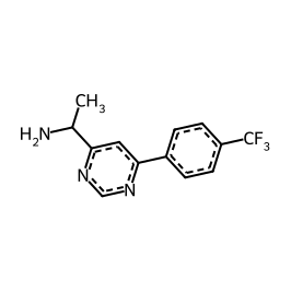 CC(N)c1cc(-c2ccc(C(F)(F)F)cc2)ncn1